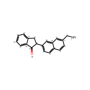 CC(C)Cc1ccc2ccc(C3Cc4ccccc4C3=O)cc2c1